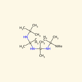 CN[Si](C)(C)N[Si](C)(C)N[Si](C)(C)N[Si](C)(C)C